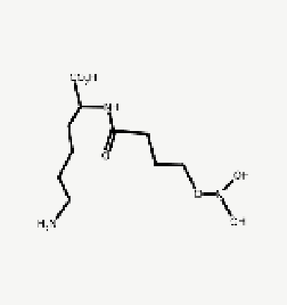 NCCCCC(NC(=O)CCCON(O)O)C(=O)O